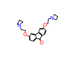 O=C1c2ccc(OCCN3CCC3)cc2-c2cc(OCCN3CCC3)ccc21